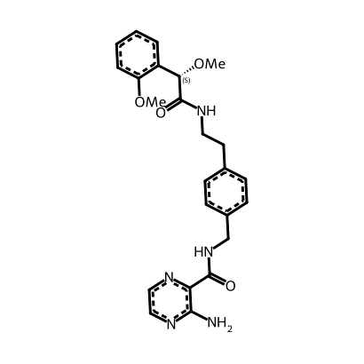 COc1ccccc1[C@H](OC)C(=O)NCCc1ccc(CNC(=O)c2nccnc2N)cc1